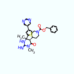 CN1C(=N)NC(C)(c2cc(-c3cncnc3)cs2)[C@@H](C2CCN(C(=O)OCc3ccccc3)CC2)C1=O